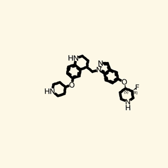 F[C@@H]1CNCC[C@@H]1Oc1ccc2c(cnn2CC2CCNc3ccc(OC4CCNCC4)cc32)c1